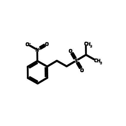 CC(C)S(=O)(=O)CCc1ccccc1[N+](=O)[O-]